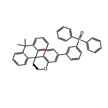 CC1(C)c2ccccc2C2(c3ccccc3Oc3cc(-c4cccc(P(=O)(c5ccccc5)c5ccccc5)c4)ccc32)c2ccccc21